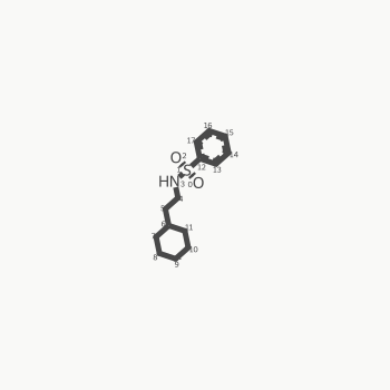 O=S(=O)(NCCC1CC[CH]CC1)c1ccccc1